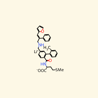 CSCC[C@H](NC(=O)c1ccc(CNCC(=Cc2ccco2)c2ccccc2)cc1-c1ccccc1C)C(=O)[O-].[Li+]